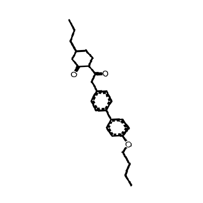 CCCCOc1ccc(-c2ccc(CC(=O)C3CCC(CCC)CC3=O)cc2)cc1